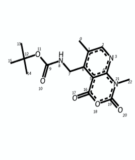 Cc1cnc2c(c1CNC(=O)OC(C)(C)C)c(=O)oc(=O)n2C